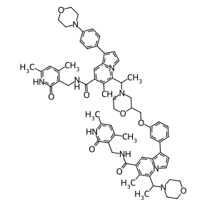 Cc1cc(C)c(CNC(=O)c2cc3c(-c4cccc(OCC5CN(C(C)c6c(C)c(C(=O)NCc7c(C)cc(C)[nH]c7=O)cc7c(-c8ccc(N9CCOCC9)cc8)ccn67)CCO5)c4)ccn3c(C(C)N3CCOCC3)c2C)c(=O)[nH]1